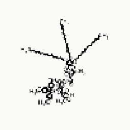 [C-]#[N+]CCOP(=O)(OC[C@H]1O[C@@H](n2cc(C)c(=O)n(C(=O)c3cc(OCCCCCCCCCCCCCCCC)c(OCCCCCCCCCCCCCCCC)c(OCCCCCCCCCCCCCCCC)c3)c2=O)CC1O)OC1C[C@H](n2cc(C)c(=O)[nH]c2=O)O[C@@H]1COC(c1ccccc1)(c1ccc(OC)cc1)c1ccc(OC)cc1